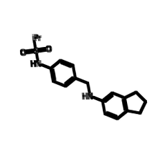 CC(C)S(=O)(=O)Nc1ccc(CNc2ccc3c(c2)CCC3)cc1